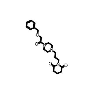 O=C(COCc1ccccc1)N1CCN(CCCN2C(=O)CCCC2=O)CC1